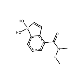 CON(C)C(=O)c1cccc2c1C=CS2(O)O